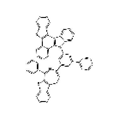 C1=C(c2cc(-c3ccccc3)cc(-n3c4ccccc4c4c5c6ccccc6sc5c5ccccc5c43)c2)N=C(c2ccccc2)c2sc3ccccc3c2C1